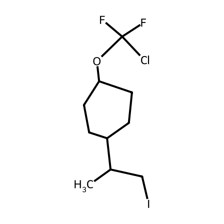 CC(CI)C1CCC(OC(F)(F)Cl)CC1